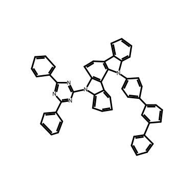 c1ccc(-c2cccc(-c3ccc(-n4c5ccccc5c5ccc6c(c7ccccc7n6-c6nc(-c7ccccc7)nc(-c7ccccc7)n6)c54)cc3)c2)cc1